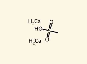 CS(=O)(=O)O.[CaH2].[CaH2]